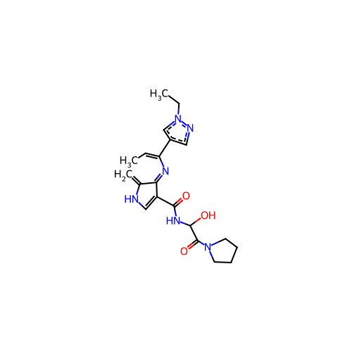 C=C1NC=C(C(=O)NC(O)C(=O)N2CCCC2)/C1=N/C(=C\C)c1cnn(CC)c1